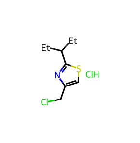 CCC(CC)c1nc(CCl)cs1.Cl